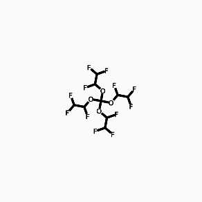 FC(F)C(F)OC(OC(F)C(F)F)(OC(F)C(F)F)OC(F)C(F)F